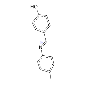 Cc1ccc(/N=C/c2ccc(O)cc2)cc1